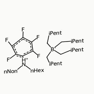 CCCC(C)C[B-](CC(C)CCC)(CC(C)CCC)CC(C)CCC.CCCCCCCCC[NH+](CCCCCC)c1c(F)c(F)c(F)c(F)c1F